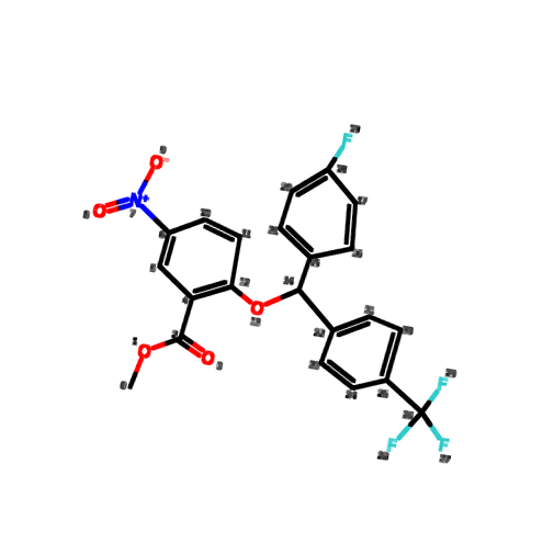 COC(=O)c1cc([N+](=O)[O-])ccc1OC(c1ccc(F)cc1)c1ccc(C(F)(F)F)cc1